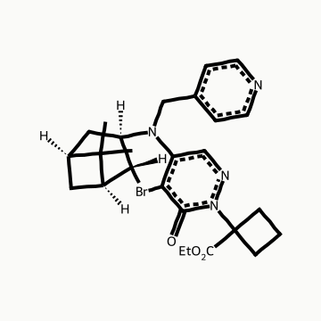 CCOC(=O)C1(n2ncc(N(Cc3ccncc3)[C@@H]3C[C@@H]4C[C@H]([C@H]3C)C4(C)C)c(Br)c2=O)CCC1